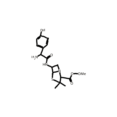 COOC(=O)C1N2CC(NC(=O)C(N)c3ccc(O)cc3)C2SC1(C)C